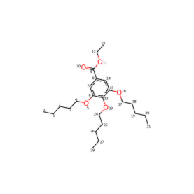 CCCCCOc1cc(C(=O)OCC)cc(OCCCCC)c1OCCCCC